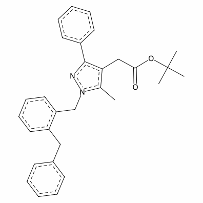 Cc1c(CC(=O)OC(C)(C)C)c(-c2ccccc2)nn1Cc1ccccc1Cc1ccccc1